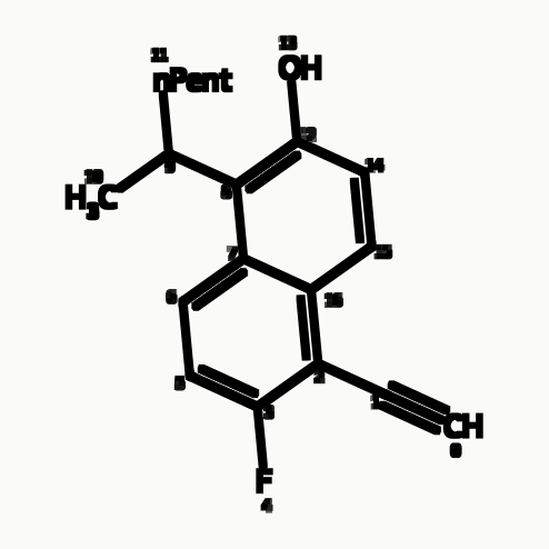 C#Cc1c(F)ccc2c(C(C)CCCCC)c(O)ccc12